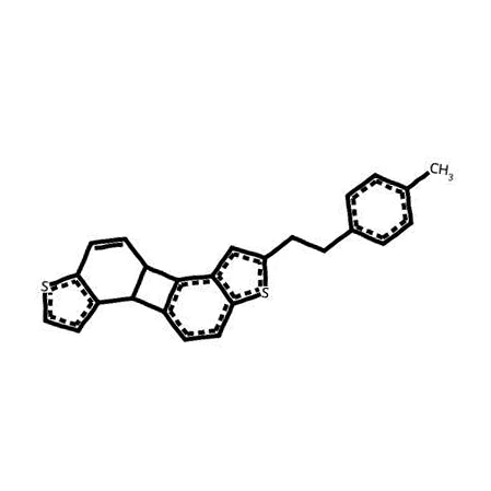 Cc1ccc(CCc2cc3c4c(ccc3s2)C2c3ccsc3C=CC42)cc1